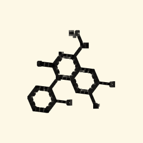 CNc1nc(=O)n(-c2ccccc2Cl)c2cc(Br)c(Cl)cc12